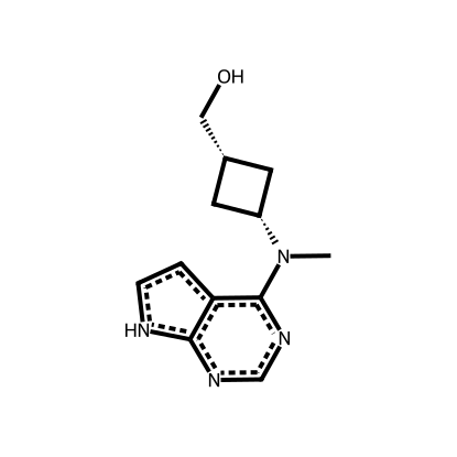 CN(c1ncnc2[nH]ccc12)[C@H]1C[C@@H](CO)C1